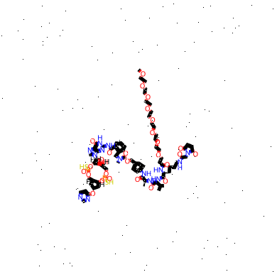 COCCOCCOCCOCCOCCOCCOCCOCCC(=O)N[C@@H](CCCCNC(=O)CN1C(=O)C=CC1=O)C(=O)N[C@H](C(=O)N[C@@H](C)C(=O)Nc1ccc(COC(=O)N(C)Cc2ccccc2C(=O)Nc2nc3c(ncn3[C@@H]3O[C@H]4CO[P@@](=O)(S)O[C@H]5C[C@H](Oc6ccncn6)C[C@@H]5CO[P@@](=O)(S)O[C@@H]3[C@@H]4O)c(=O)[nH]2)cc1)C(C)C